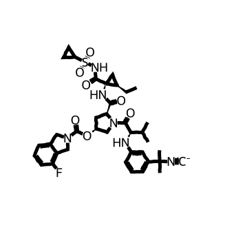 [C-]#[N+]C(C)(C)c1cccc(N[C@H](C(=O)N2C[C@H](OC(=O)N3Cc4cccc(F)c4C3)C[C@H]2C(=O)N[C@]2(C(=O)NS(=O)(=O)C3CC3)C[C@H]2CC)C(C)C)c1